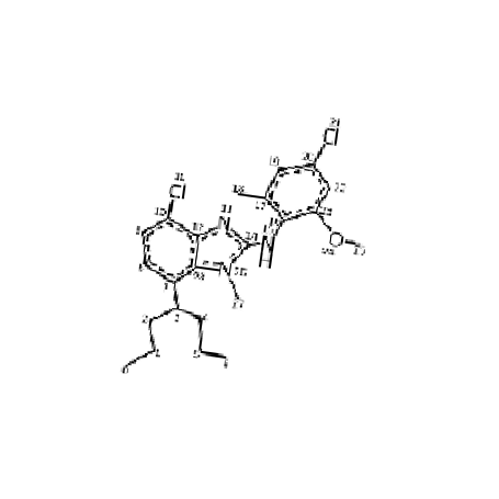 CCCC(CCC)c1ccc(Cl)c2nc(Nc3c(C)cc(Cl)cc3OC)n(C)c12